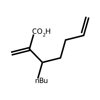 C=CCCC(CCCC)C(=C)C(=O)O